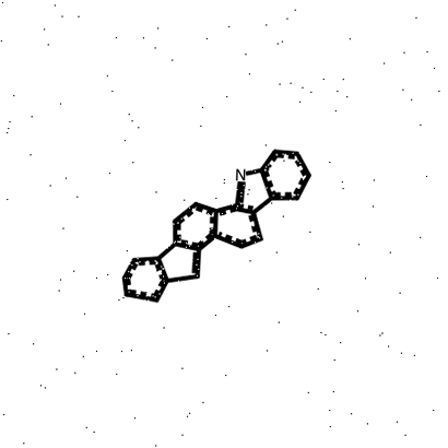 C1=c2c(ccc3c4c(ccc23)-c2ccccc2N=4)-c2ccccc21